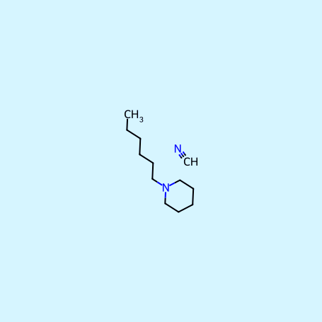 C#N.CCCCCCN1CCCCC1